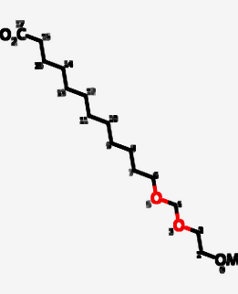 COCCOCOCCCCCCCCCCCC(=O)O